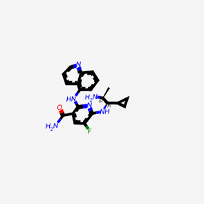 C[C@H](N)[C@H](Nc1nc(Nc2cccc3ncccc23)c(C(N)=O)cc1F)C1CC1